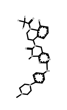 CN1CCN(c2ccc(Nc3ncc4c(n3)N(C)C(=O)N(C3CCN(C(=O)C(F)(F)F)c5c(Cl)cccc53)C4)cc2)CC1